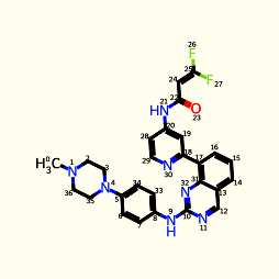 CN1CCN(c2ccc(Nc3ncc4cccc(-c5cc(NC(=O)C=C(F)F)ccn5)c4n3)cc2)CC1